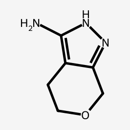 Nc1[nH]nc2c1CCOC2